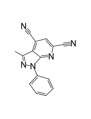 Cc1nn(-c2ccccc2)c2nc(C#N)cc(C#N)c12